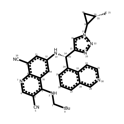 CC(C)(C)CNc1c(C#N)cnc2c(C#N)cc(N[C@H](c3cn(C4C[C@@H]4F)nn3)c3cccc4cnccc34)cc12